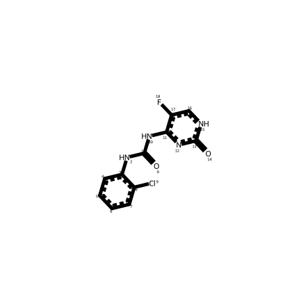 O=C(Nc1ccccc1Cl)Nc1nc(=O)[nH]cc1F